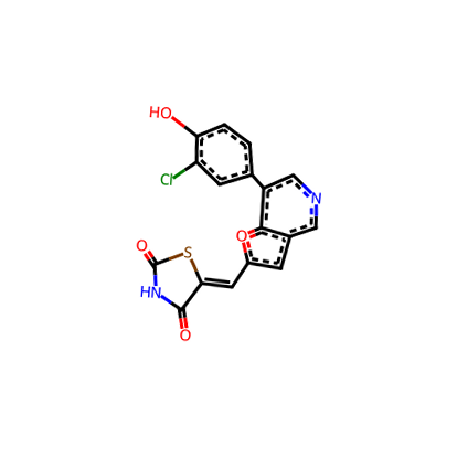 O=C1NC(=O)C(=Cc2cc3cncc(-c4ccc(O)c(Cl)c4)c3o2)S1